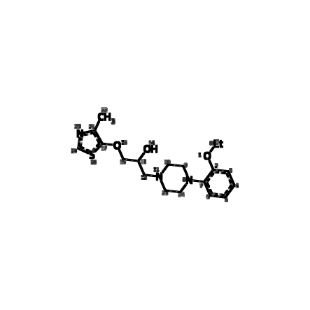 CCOc1ccccc1N1CCN(CC(O)COc2scnc2C)CC1